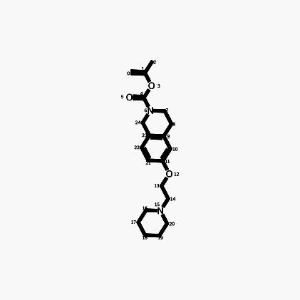 C=C(C)OC(=O)N1CCc2cc(OCCN3CCCCC3)ccc2C1